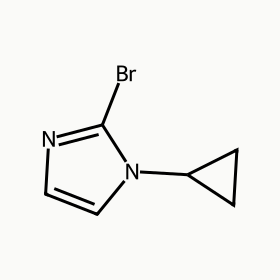 Brc1nccn1C1CC1